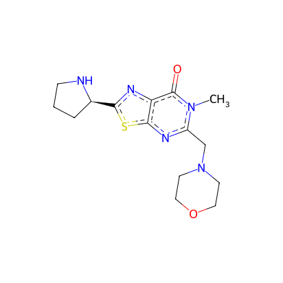 Cn1c(CN2CCOCC2)nc2sc([C@H]3CCCN3)nc2c1=O